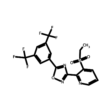 CCS(=O)(=O)c1cccnc1-c1noc(-c2cc(C(F)(F)F)cc(C(F)(F)F)c2)n1